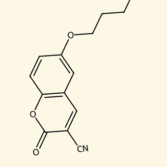 N#Cc1cc2cc(OCCCC(=O)O)ccc2oc1=O